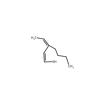 C/C=C(\C=C/S)CCCC